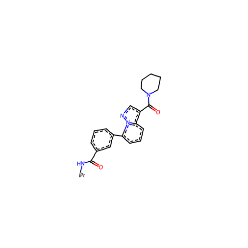 CC(C)NC(=O)c1cccc(-c2cccc3c(C(=O)N4CCCCC4)cnn23)c1